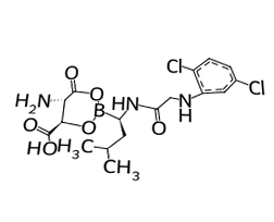 CC(C)C[C@H](NC(=O)CNc1cc(Cl)ccc1Cl)B1OC(=O)[C@@H](N)[C@H](C(=O)O)O1